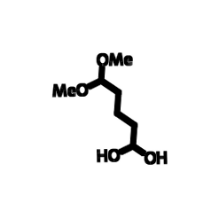 COC(CCCC(O)O)OC